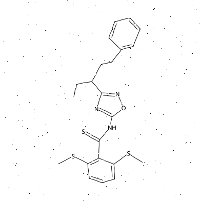 CCC(CCc1ccccc1)c1noc(NC(=S)c2c(SC)cccc2SC)n1